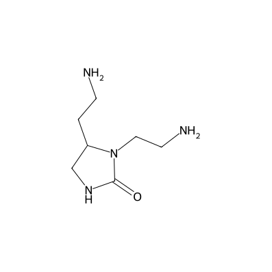 NCCC1CNC(=O)N1CCN